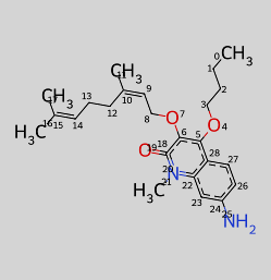 CCCCOc1c(OCC=C(C)CCC=C(C)C)c(=O)n(C)c2cc(N)ccc12